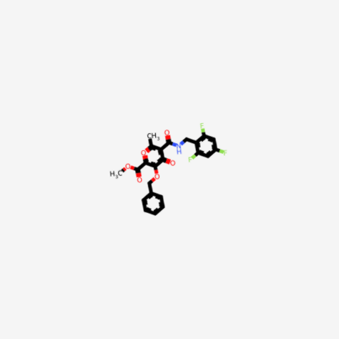 COC(=O)c1oc(C)c(C(=O)NCc2c(F)cc(F)cc2F)c(=O)c1OCc1ccccc1